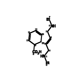 CCNCC=CCNCC.O=C(O)C1C=CC=CC1